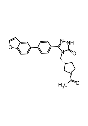 CC(=O)N1CC[C@@H](Cn2c(-c3ccc(-c4ccc5occc5c4)cc3)n[nH]c2=O)C1